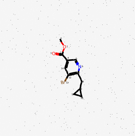 COC(=O)c1cnc(CC2CC2)c(Br)c1